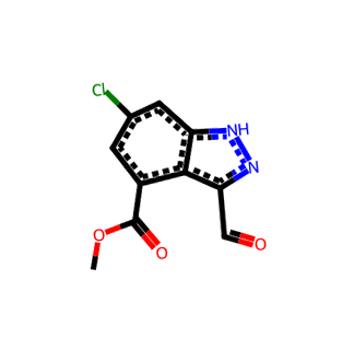 COC(=O)c1cc(Cl)cc2[nH]nc(C=O)c12